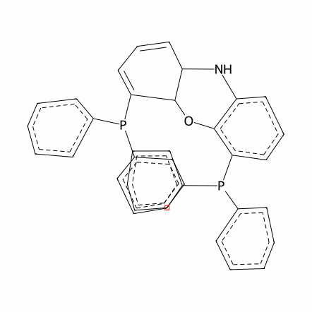 C1=CC2Nc3cccc(P(c4ccccc4)c4ccccc4)c3OC2C(P(c2ccccc2)c2ccccc2)=C1